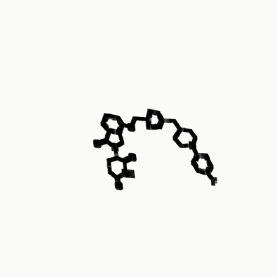 O=C1CCC(N2Cc3c(OCc4ccc(CC5CCN(c6ccc(F)cc6)CC5)cc4)cccc3C2=O)C(=O)N1